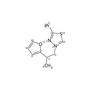 CC(C)c1n[n+](CC(C)c2ccco2)cs1